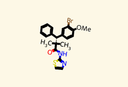 COc1ccc([C@@H](c2ccccc2)C(C)(C)C(=O)Nc2nccs2)cc1Br